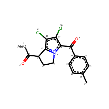 COC(=O)C1CCn2c(C(=O)c3ccc(C)cc3)c(Cl)c(Cl)c21